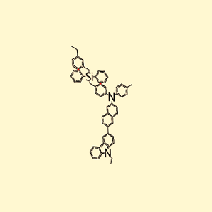 CCc1cccc(C[Si](Cc2ccc(N(c3ccc(C)cc3)c3ccc4cc(-c5ccc6c(c5)c5ccccc5n6CC)ccc4c3)cc2)(c2ccccc2)c2ccccc2)c1